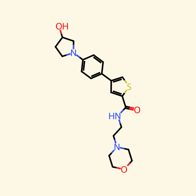 O=C(NCCN1CCOCC1)c1cc(-c2ccc(N3CCC(O)C3)cc2)cs1